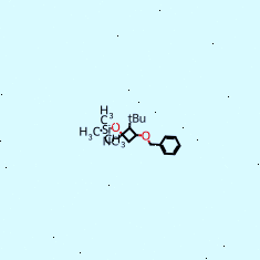 CC(C)(C)C1C(OCc2ccccc2)CC1(C#N)O[Si](C)(C)C